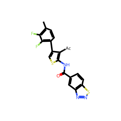 CC(=O)c1c(-c2ccc(C)c(F)c2F)csc1NC(=O)c1ccc2snnc2c1